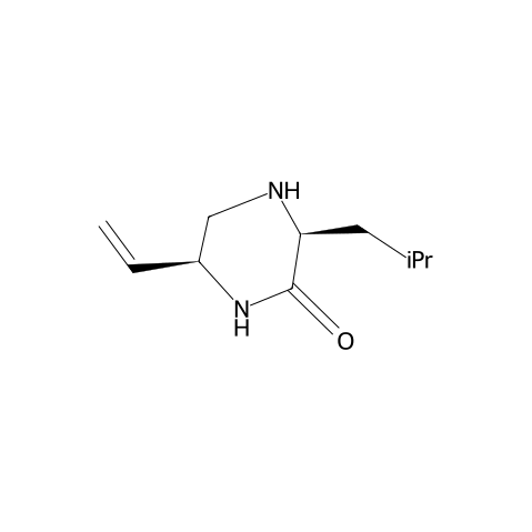 C=C[C@H]1CN[C@@H](CC(C)C)C(=O)N1